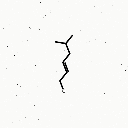 CC(C)CC=CC[O]